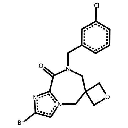 O=C1c2nc(Br)cn2CC2(COC2)CN1Cc1cccc(Cl)c1